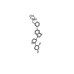 CCNCc1cccc(-c2ccn3c(-c4ccnc(-c5ccc(F)cc5F)c4)cnc3c2)c1